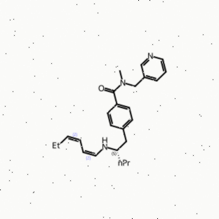 CC/C=C\C=C/N[C@@H](CCC)Cc1ccc(C(=O)N(C)Cc2cccnc2)cc1